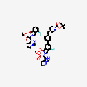 CCOC(=O)C(c1ncn2c1CCC2)N1Cc2c(F)cc(-c3ccc(CC4CCN(C(=O)OC(C)(C)C)CC4)cc3)cc2C1=O.CCOC(=O)C(c1ncn2c1CCC2)N1Cc2c(F)cc(I)cc2C1=O